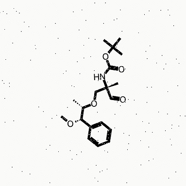 CO[C@@H](c1ccccc1)[C@H](C)OC[C@@](C)(C=O)NC(=O)OC(C)(C)C